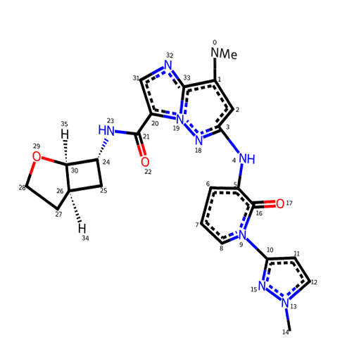 CNc1cc(Nc2cccn(-c3ccn(C)n3)c2=O)nn2c(C(=O)N[C@@H]3C[C@H]4CCO[C@H]43)cnc12